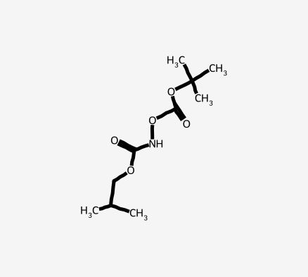 CC(C)COC(=O)NOC(=O)OC(C)(C)C